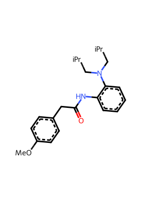 COc1ccc(CC(=O)Nc2ccccc2N(CC(C)C)CC(C)C)cc1